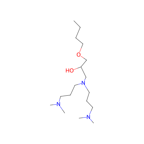 CCCCOCC(O)CN(CCCN(C)C)CCCN(C)C